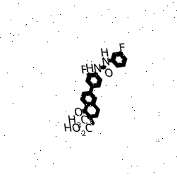 CC1(CC(=O)O)CCc2cc(-c3ccc(NC(=O)Nc4cccc(F)c4)c(F)c3)ccc2C1=O